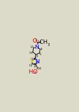 CC(=O)N1CCC(c2nc(CO)cs2)CC1